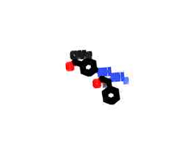 COC(=O)c1ccc(NC(=O)[C@@H](N)c2ccccc2)cc1